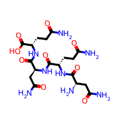 NC(=O)CC[C@H](NC(=O)[C@H](CC(N)=O)NC(=O)[C@H](CCC(N)=O)NC(=O)[C@@H](N)CC(N)=O)C(=O)O